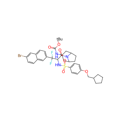 CC(C)(C)OC(=O)NC1CC2CCC(C1)N2C(=O)C(NS(=O)(=O)c1ccc(OCC2CCCC2)cc1)C(F)(F)c1ccc2cc(Br)ccc2c1